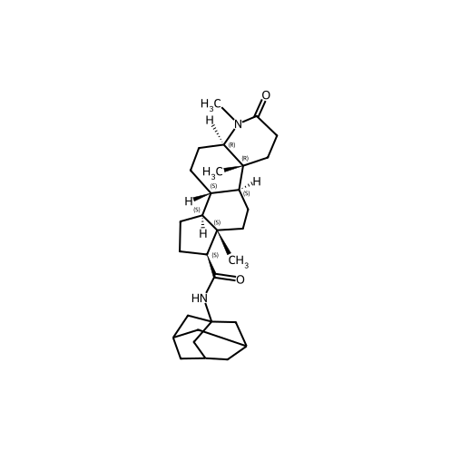 CN1C(=O)CC[C@]2(C)[C@H]3CC[C@]4(C)[C@@H](C(=O)NC56CC7CC(CC(C7)C5)C6)CC[C@H]4[C@@H]3CC[C@@H]12